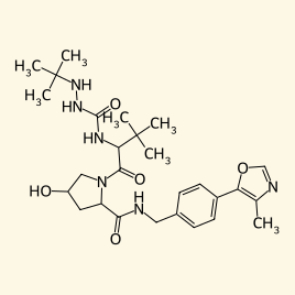 Cc1ncoc1-c1ccc(CNC(=O)C2CC(O)CN2C(=O)C(NC(=O)NNC(C)(C)C)C(C)(C)C)cc1